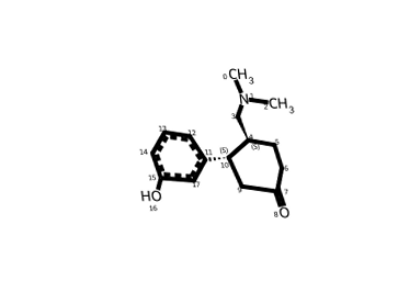 CN(C)C[C@H]1CCC(=O)C[C@@H]1c1cccc(O)c1